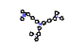 c1ccc(-n2c3ccccc3c3cc(-c4ccc(-c5ccc(N(c6ccc(-c7ccc(-c8ccc9c%10ccccc%10n(-c%10ccccc%10)c9c8)cc7)cc6)c6ccc(-c7ccc8c9ccccc9n(-c9ccccc9)c8c7)cc6)cc5)cc4)ccc32)cc1